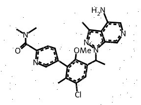 COc1c(C(C)n2nc(C)c3c(N)cncc32)cc(Cl)c(C)c1-c1ccc(C(=O)N(C)C)nc1